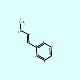 CSC=Cc1ccccc1